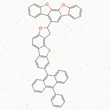 c1ccc(-c2c3ccccc3c(-c3ccc4c(c3)sc3c5c(ccc34)OC(c3cc4c6ccccc6oc4c4oc6ccccc6c34)C5)c3ccccc23)cc1